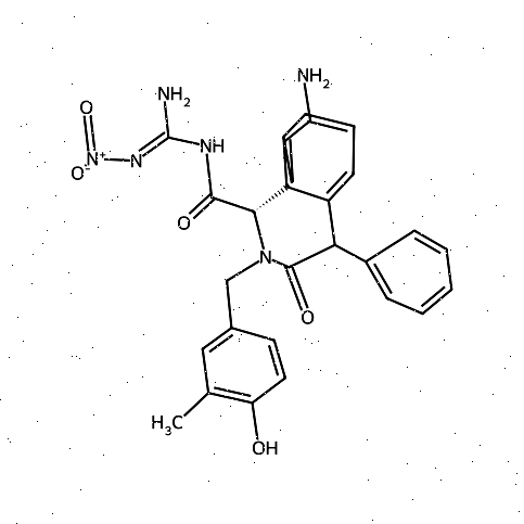 Cc1cc(CN(C(=O)C(c2ccccc2)c2ccccc2)[C@@H](CCCN)C(=O)NC(N)=N[N+](=O)[O-])ccc1O